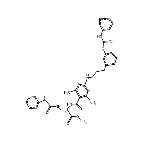 COC(=O)[C@H](CNC(=O)Nc1ccccc1)NC(=O)c1c(C)nc(NCCCc2cccc(OC(=O)Nc3ccccc3)c2)nc1C